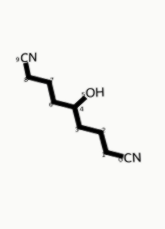 N#CCCCC(O)CCCC#N